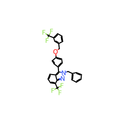 FC(F)(F)c1cccc(COc2ccc(-c3c4cccc(C(F)(F)F)c4nn3Cc3ccccc3)cc2)c1